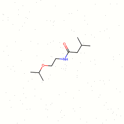 CC(C)CC(=O)NCCOC(C)C